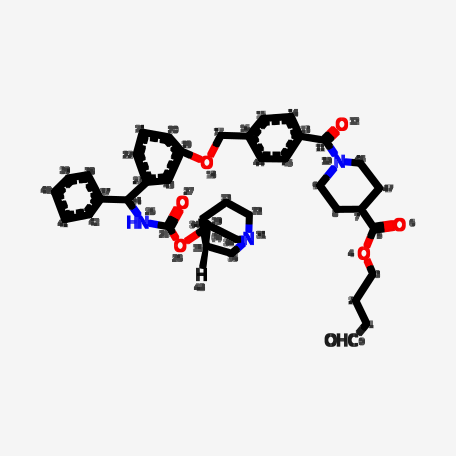 O=CCCCOC(=O)C1CCN(C(=O)c2ccc(COc3cccc(C(NC(=O)O[C@H]4CN5CCC4CC5)c4ccccc4)c3)cc2)CC1